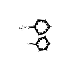 [Hg+2].[O-]c1ccccc1.[O-]c1ccccc1